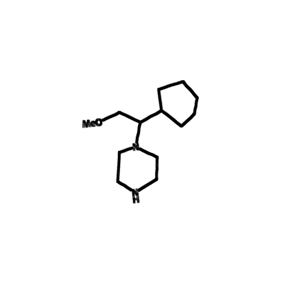 COCC(C1CCCCC1)N1CCNCC1